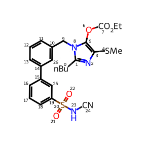 CCCCc1nc(SC)c(OC(=O)OCC)n1Cc1cccc(-c2cccc(S(=O)(=O)NC#N)c2)c1